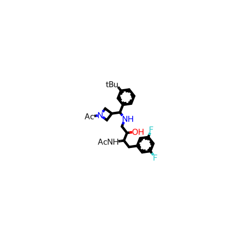 CC(=O)NC(Cc1cc(F)cc(F)c1)C(O)CNC(c1cccc(C(C)(C)C)c1)C1CN(C(C)=O)C1